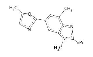 CCCc1nc2c(C)cc(-c3ncc(C)o3)cc2n1C